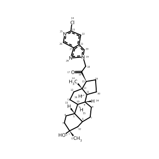 C[C@@]1(O)CC[C@H]2C(CC[C@@H]3[C@@H]2CC[C@]2(C)[C@@H](C(=O)Cn4cc5cc(Cl)ncc5n4)CC[C@@H]32)C1